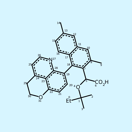 CCC(C)(C)OC(C(=O)O)c1c(C)cc2cc(C)ccc2c1-c1ccc2c3c(ccnc13)CCO2